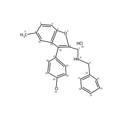 Cc1ccc2oc(CNCc3ccccc3)c(-c3ccc(Cl)cc3)c2c1.Cl